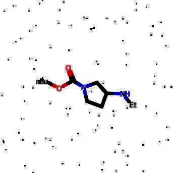 CCCCOC(=O)N1CCC(NCC)C1